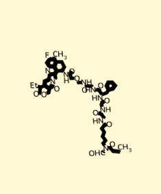 C/C=C\C(=O)N(C=O)CCCCCC(=O)NCC(=O)NCC(=O)NC(Cc1ccccc1)C(=O)NCC(=O)NCOCC(=O)NC1CCc2c(C)c(F)cc3nc4c(c1c23)Cn1c-4cc2c(c1=O)COC(=O)C2CC